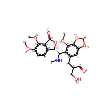 CNC(c1c(CC(C=O)CO)cc2c(c1OC)OCO2)[C@H]1OC(=O)c2c1ccc(OC)c2OC